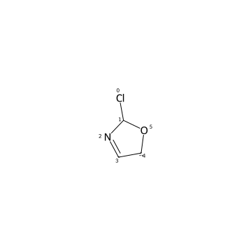 ClC1N=C[C]O1